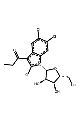 CCC(=O)c1c(Cl)n([C@@H]2O[C@H](CO)[C@@H](O)[C@H]2O)c2cc(Cl)c(Cl)cc12